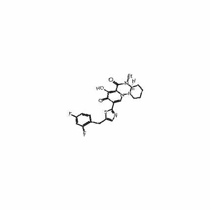 CCN1C(=O)c2c(O)c(=O)c(-c3ncc(Cc4ccc(F)cc4F)s3)cn2N2CCCC[C@H]12